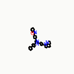 C1=CC2C=Cc3ccc(-c4ccc(-c5nc(C6=CC=C(c7nc8ccccc8o7)CC6)cc(-c6ccc(-c7ccccc7)cc6)n5)cc4)nc3C2N=C1